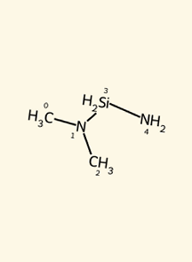 CN(C)[SiH2]N